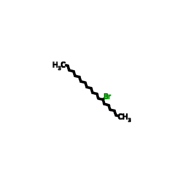 CCCCCCCCCCCCCC(Br)CCCCCC